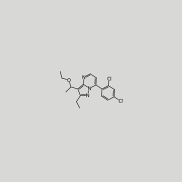 CCOC(C)c1c(CC)nn2c(-c3ccc(Cl)cc3Cl)ccnc12